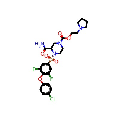 NC(=O)[C@H]1CN(C(=O)OCCN2CCCC2)CCN1S(=O)(=O)c1cc(F)c(Oc2ccc(Cl)cc2)c(F)c1